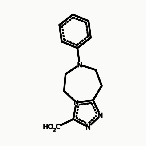 O=C(O)c1nnc2n1CCN(c1ccccc1)CC2